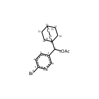 CC(=O)OC(c1ccc(Br)nc1)C12CCC(CC1)CC2